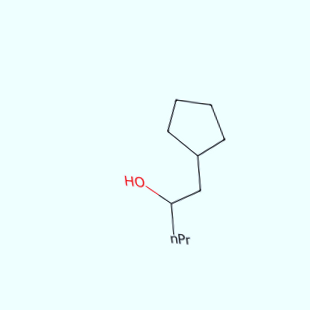 CCCC(O)CC1CCCC1